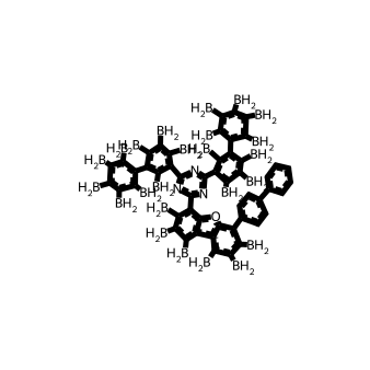 Bc1c(B)c(B)c(-c2c(B)c(B)c(B)c(-c3nc(-c4c(B)c(B)c(B)c(-c5c(B)c(B)c(B)c(B)c5B)c4B)nc(-c4c(B)c(B)c(B)c5c4oc4c(-c6ccc(-c7ccccc7)cc6)c(B)c(B)c(B)c45)n3)c2B)c(B)c1B